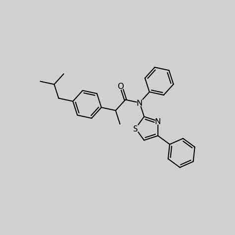 CC(C)Cc1ccc(C(C)C(=O)N(c2ccccc2)c2nc(-c3ccccc3)cs2)cc1